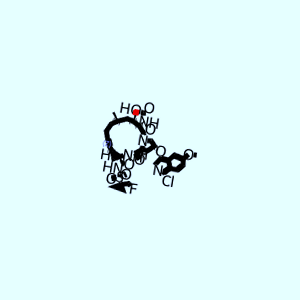 COc1ccc2c(Cl)ncc(O[C@@H]3C[C@H]4C(=O)N[C@]5(C(=O)NS(=O)(=O)C6(CF)CC6)C[C@H]5/C=C\CC[C@@H](C)C[C@@H](C)[C@H](NC(=O)O)C(=O)N4C3)c2c1